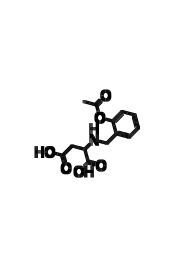 CC(=O)Oc1ccccc1CNC(CC(=O)O)C(=O)O